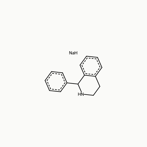 [NaH].c1ccc(C2NCCc3ccccc32)cc1